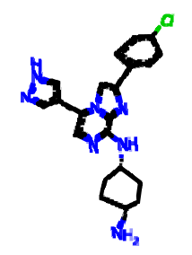 N[C@H]1CC[C@H](Nc2ncc(-c3cn[nH]c3)n3cc(-c4ccc(Cl)cc4)nc23)CC1